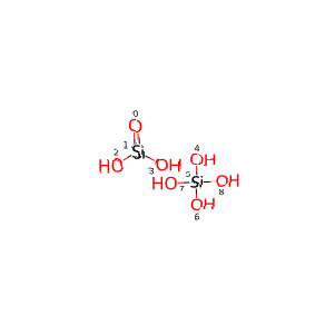 O=[Si](O)O.O[Si](O)(O)O